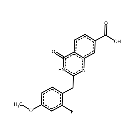 COc1ccc(Cc2nc3cc(C(=O)O)ccc3c(=O)[nH]2)c(F)c1